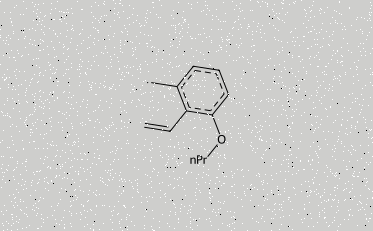 [CH2]c1cccc(OCCC)c1C=C